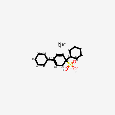 O=S(=O)([O-])C1(C2CCCCC2)C=CC(C2CCCCC2)=CC1.[Na+]